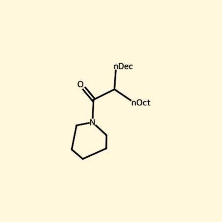 CCCCCCCCCCC(CCCCCCCC)C(=O)N1CCCCC1